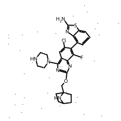 Nc1nc2c(-c3c(Cl)cc4c(N5CCNCC5)nc(OCC56CCC(CC5)N6)nc4c3F)cccc2s1